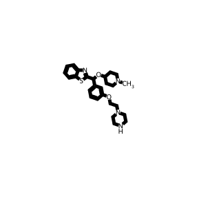 CN1CCC(OC(c2cccc(OCCN3CCNCC3)c2)c2nc3ccccc3s2)CC1